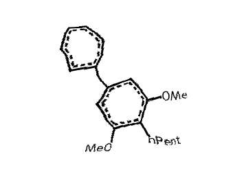 CCCCCc1c(OC)cc(-c2ccccc2)cc1OC